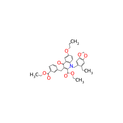 C=CCOc1ccc2c(c1)c(=O)c(Cc1cccc(C(=O)OCC)c1)c(C(=O)OCC)n2Cc1cc2c(cc1CC)OCO2